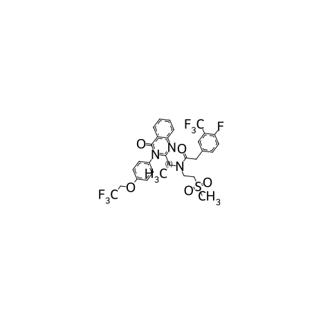 C[C@H](c1nc2ccccc2c(=O)n1-c1ccc(OCC(F)(F)F)cc1)N(CCS(C)(=O)=O)C(=O)Cc1ccc(F)c(C(F)(F)F)c1